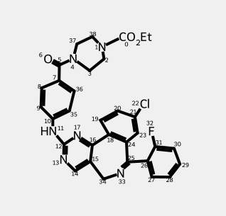 CCOC(=O)N1CCN(C(=O)c2ccc(Nc3ncc4c(n3)-c3ccc(Cl)cc3C(c3ccccc3F)=NC4)cc2)CC1